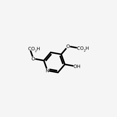 O=C(O)Oc1cc(OC(=O)O)c(O)cn1